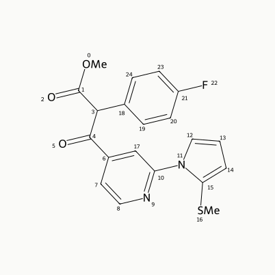 COC(=O)C(C(=O)c1ccnc(-n2cccc2SC)c1)c1ccc(F)cc1